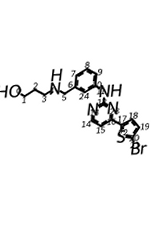 OCCCNCc1cccc(Nc2nccc(-c3ccc(Br)s3)n2)c1